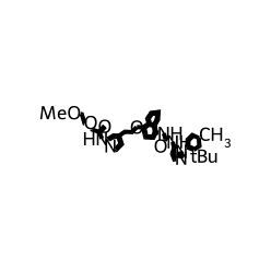 COCCOCC(=O)Nc1cc(CCOc2ccc(NC(=O)Nc3ccnn3C3=C(C(C)(C)C)CC(C)C=C3)c3ccccc23)ccn1